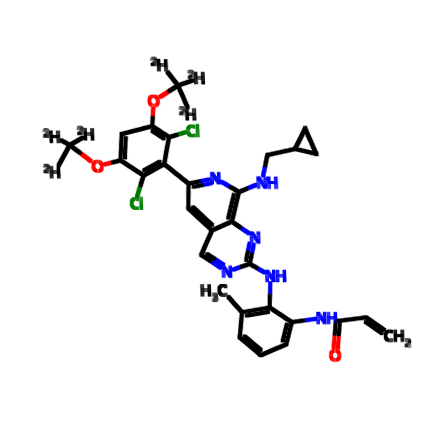 [2H]C([2H])([2H])Oc1cc(OC([2H])([2H])[2H])c(Cl)c(-c2cc3cnc(Nc4c(C)cccc4NC(=O)C=C)nc3c(NCC3CC3)n2)c1Cl